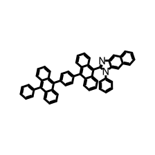 c1ccc(-c2c3ccccc3c(-c3ccc(-c4c5ccccc5c(-c5nc6cc7ccccc7cc6n5-c5ccccc5)c5ccccc45)cc3)c3ccccc23)cc1